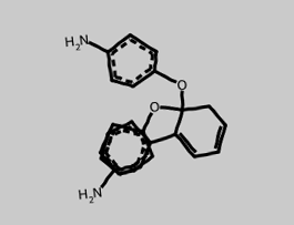 Nc1ccc(OC2(Oc3ccc(N)cc3)CC=CC=C2c2ccccc2)cc1